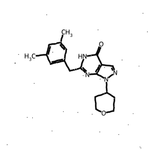 Cc1cc(C)cc(Cc2nc3c(cnn3C3CCOCC3)c(=O)[nH]2)c1